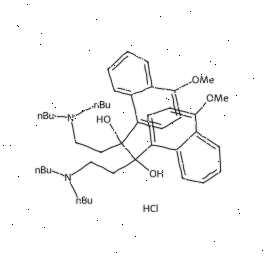 CCCCN(CCCC)CCC(O)(c1ccc(OC)c2ccccc12)C(O)(CCN(CCCC)CCCC)c1ccc(OC)c2ccccc12.Cl